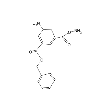 NOC(=O)c1cc(C(=O)OCc2ccccc2)cc([N+](=O)[O-])c1